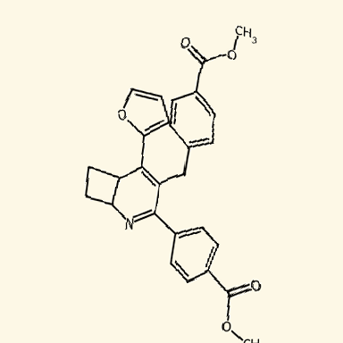 COC(=O)c1ccc(CC2=C(c3ccco3)C3CCC3N=C2c2ccc(C(=O)OC)cc2)cc1